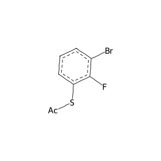 CC(=O)Sc1cccc(Br)c1F